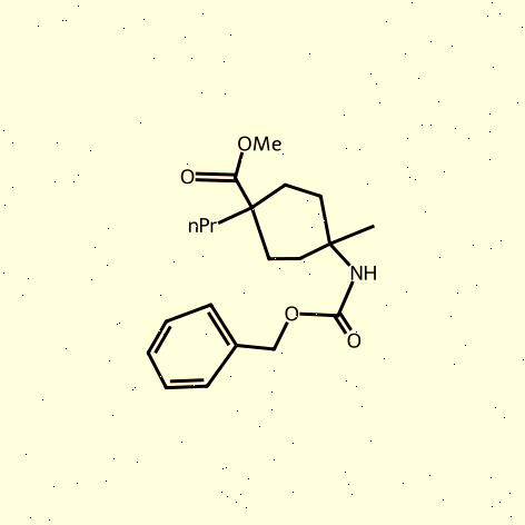 CCCC1(C(=O)OC)CCC(C)(NC(=O)OCc2ccccc2)CC1